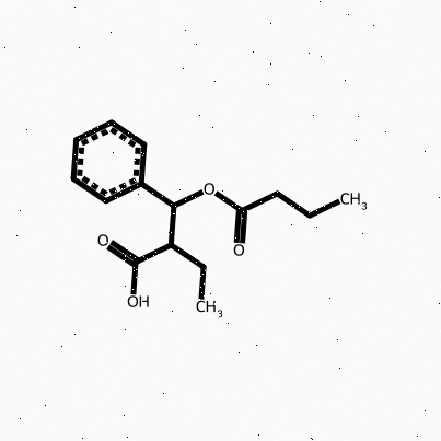 CCCC(=O)OC(c1ccccc1)C(CC)C(=O)O